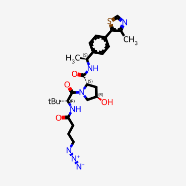 Cc1ncsc1-c1ccc([C@H](C)NC(=O)[C@@H]2C[C@@H](O)CN2C(=O)[C@H](NC(=O)CCCN=[N+]=[N-])C(C)(C)C)cc1